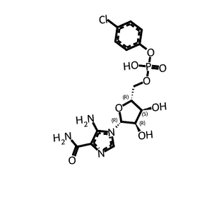 NC(=O)c1ncn([C@@H]2O[C@H](COP(=O)(O)Oc3ccc(Cl)cc3)[C@@H](O)[C@H]2O)c1N